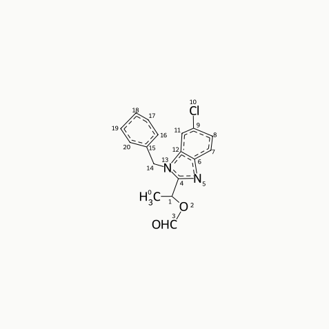 CC(OC=O)c1nc2ccc(Cl)cc2n1Cc1ccccc1